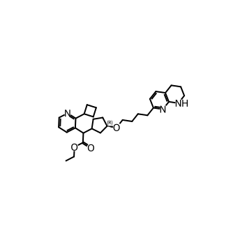 CCOC(=O)C(c1cccnc1C1CCC1)C1CC[C@@H](OCCCCc2ccc3c(n2)NCCC3)C1